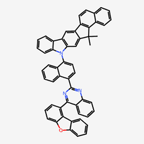 CC1(C)c2cc3c(cc2-c2ccc4ccccc4c21)c1ccccc1n3-c1ccc(-c2nc(-c3cccc4oc5ccccc5c34)c3ccccc3n2)c2ccccc12